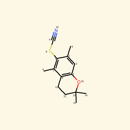 Cc1cc2c(c(C)c1SC#N)CCC(C)(C)O2